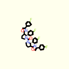 O=C(N1CCCC(c2nc(-c3ccc(F)cc3)co2)[C@H]1c1ccc(F)cc1)N1CCCC(c2nc(-c3ccc(F)cc3)co2)[C@H]1c1ccc(F)cc1